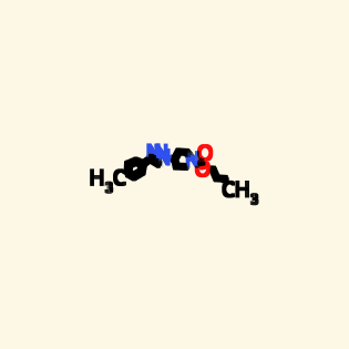 CCCCOC(=O)N1CCC(n2cc(-c3ccc(C)cc3)nn2)CC1